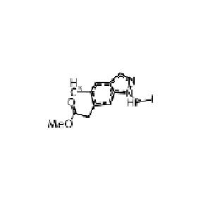 COC(=O)Cc1cc2c(cnn2PI)cc1C